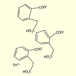 O=C(O)Cc1ccccc1C(=O)[O-].O=C(O)Cc1ccccc1C(=O)[O-].O=C(O)Cc1ccccc1C(=O)[O-].[Fe+3]